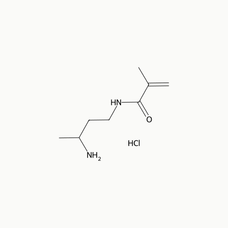 C=C(C)C(=O)NCCC(C)N.Cl